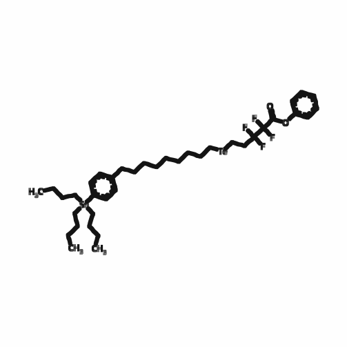 CCC[CH2][Sn]([CH2]CCC)([CH2]CCC)[c]1ccc(CCCCCCCCC[Te]CCC(F)(F)C(F)(F)C(=O)Oc2ccccc2)cc1